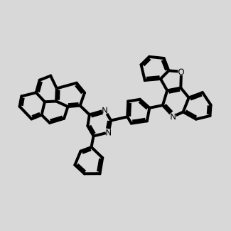 C1=CC2=CCc3ccc(-c4cc(-c5ccccc5)nc(-c5ccc(-c6nc7ccccc7c7oc8ccccc8c67)cc5)n4)c4c3C2C(=C1)C=C4